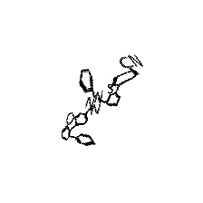 N#Cc1ccc2c(c1)sc1c(-c3nc(-c4ccccc4)nc(-c4ccc5c(c4)oc4cccc(-c6ccccc6)c45)n3)cccc12